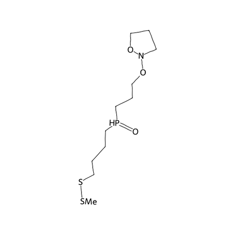 CSSCCCC[PH](=O)CCCON1CCCO1